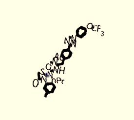 CCCc1ccc(C)cc1N1C(=O)CS/C1=N\C(=O)NC(Cc1ccc(-c2ncn(-c3ccc(OC(F)(F)F)cc3)n2)cc1)N(C)C(C)=O